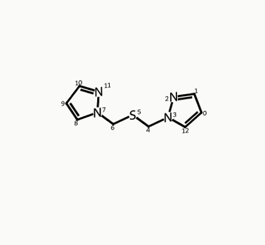 c1cnn(CSCn2cccn2)c1